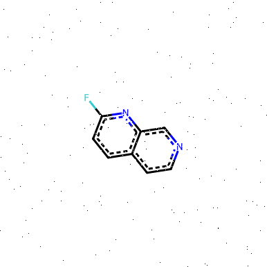 Fc1ccc2ccncc2n1